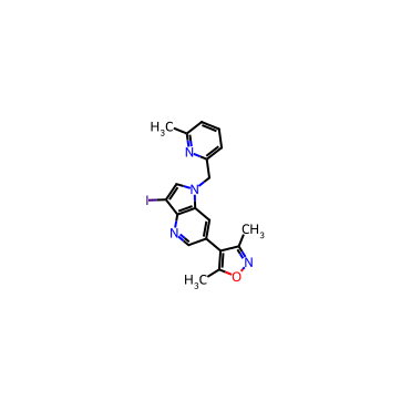 Cc1cccc(Cn2cc(I)c3ncc(-c4c(C)noc4C)cc32)n1